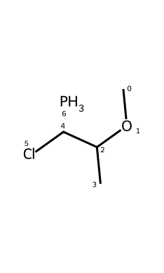 COC(C)CCl.P